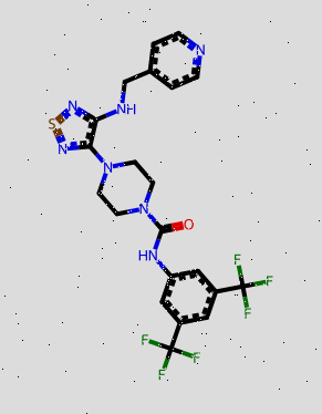 O=C(Nc1cc(C(F)(F)F)cc(C(F)(F)F)c1)N1CCN(c2nsnc2NCc2ccncc2)CC1